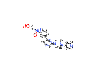 O=C(NCCO)c1cccc(-c2cncc(N3CCN(c4ccncc4)CC3)n2)c1